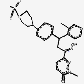 Cc1ccccc1C(C/C(=N\O)c1ccc(=O)n(C)n1)c1ccc(C2CCN(S(C)(=O)=O)CC2)cc1